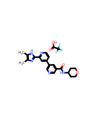 Cc1nc(-c2cc(-c3cncc(C(=O)NC4CCOCC4)c3)ccn2)[nH]c1C.O=C(O)C(F)(F)F